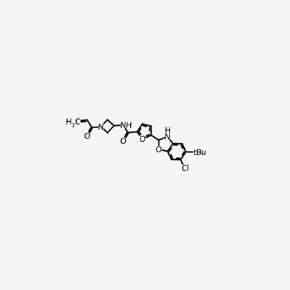 C=CC(=O)N1CC(NC(=O)c2ccc(C3Nc4cc(C(C)(C)C)c(Cl)cc4O3)o2)C1